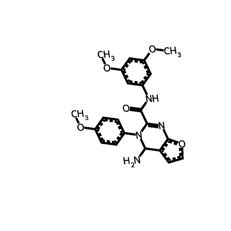 COc1ccc(N2C(C(=O)Nc3cc(OC)cc(OC)c3)=Nc3occc3C2N)cc1